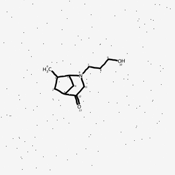 CC1CC2CC1N(CCCO)CC2=O